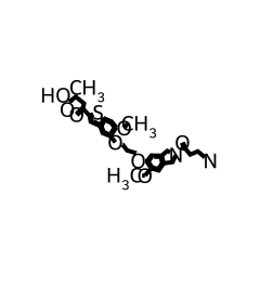 COc1cc2c(cc1OCCCOc1cc3cc(C(=O)C[C@H](C)C(=O)O)sc3cc1OC)CN(C(=O)CCC#N)C2